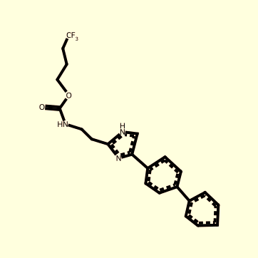 O=C(NCCc1nc(-c2ccc(-c3ccccc3)cc2)c[nH]1)OCCCC(F)(F)F